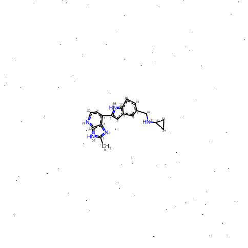 Cc1nc2c(-c3cc4cc(CNC5CC5)ccc4[nH]3)ccnc2[nH]1